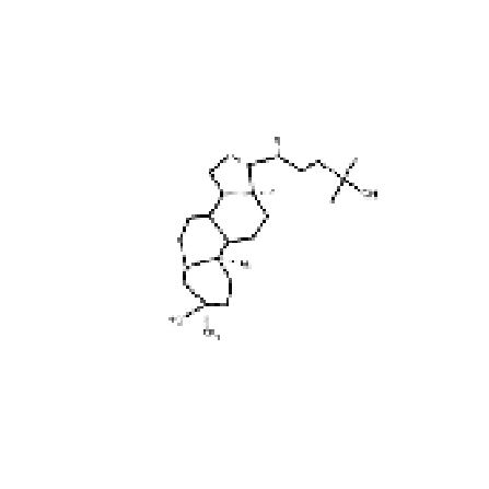 C[C@H](CCC(C)(C)O)[C@H]1CCC2C3CCC4C[C@@](O)(C(F)(F)F)CC[C@@H]4C3CC[C@@]21C